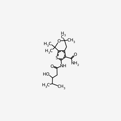 CC(C)C(O)CC(=O)Nc1sc2c(c1C(N)=O)CC(C)(C)OC2(C)C